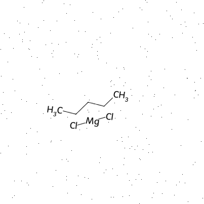 CCCCC.[Cl][Mg][Cl]